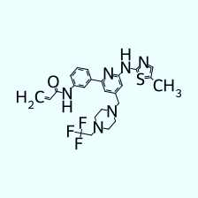 C=CC(=O)Nc1cccc(-c2cc(CN3CCN(CC(F)(F)F)CC3)cc(Nc3ncc(C)s3)n2)c1